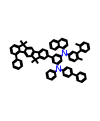 Cc1ccccc1-c1cc(N(c2cc(-c3ccc4c(c3)C(C)(C)c3cc5c(cc3-4)C(C)(C)c3cccc(-c4ccccc4)c3-5)cc(N(c3ccccc3)c3ccc(-c4ccccc4)cc3)c2)c2cccc3ccccc23)ccc1C